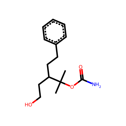 CC(C)(OC(N)=O)C(CCO)CCc1ccccc1